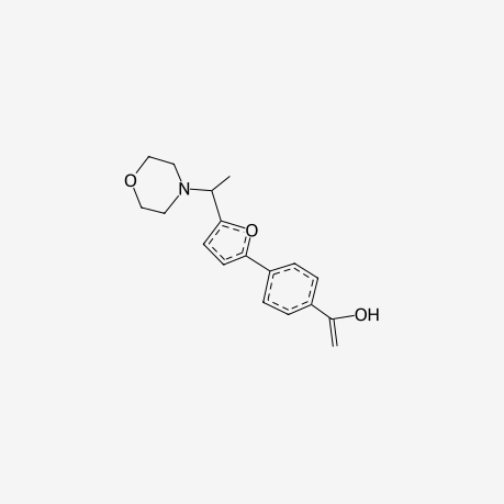 C=C(O)c1ccc(-c2ccc(C(C)N3CCOCC3)o2)cc1